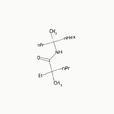 CCCCCCC(C)(CCC)NC(=O)C(C)(CC)CCC